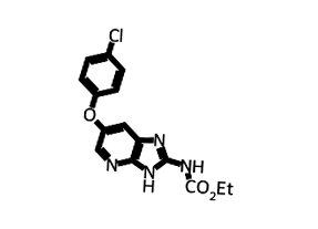 CCOC(=O)Nc1nc2cc(Oc3ccc(Cl)cc3)cnc2[nH]1